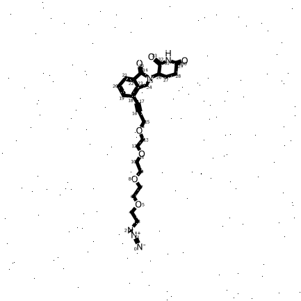 [N-]=[N+]=NCCOCCOCCOCCOCC#Cc1cccc2c1CN(C1CCC(=O)NC1=O)C2=O